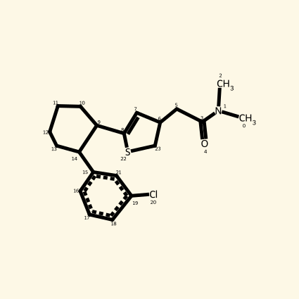 CN(C)C(=O)CC1C=C(C2CCCCC2c2cccc(Cl)c2)SC1